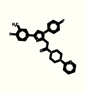 Cc1cc(-c2cn(-c3ccc(F)cc3)c(CC(=O)N3CCN(c4ccccn4)CC3)n2)ccc1F